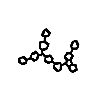 c1ccc(-c2ccc(P(c3ccc(-c4ccccc4)cc3)c3ccc(-c4cccc(-n5c6ccccc6c6cc(-c7ccccc7)ccc65)c4)cc3)cc2)cc1